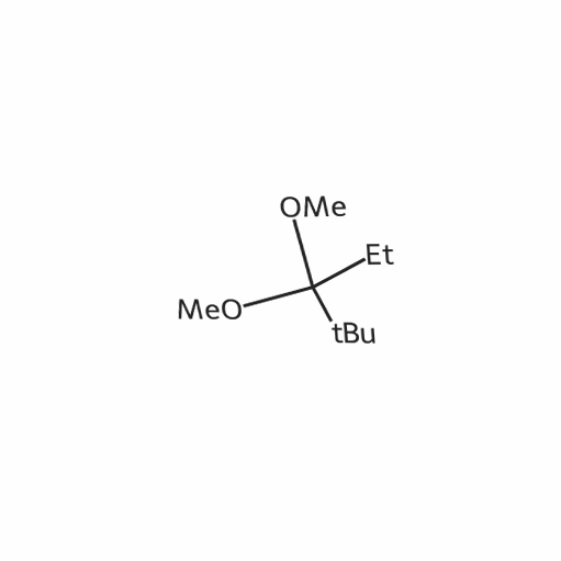 CCC(OC)(OC)C(C)(C)C